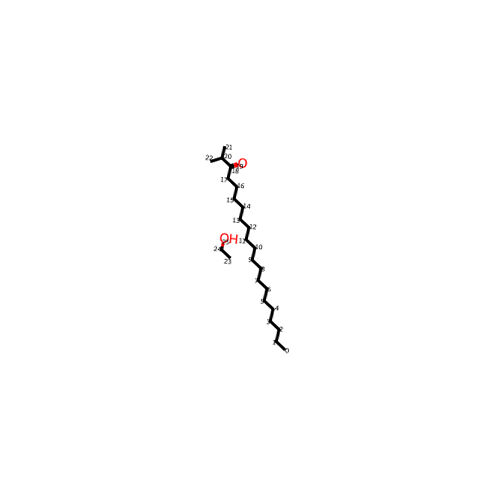 CCCCCCCCCCCCCCCCCCC(=O)C(C)C.CCO